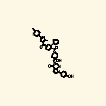 Cc1ccc(-c2nc(C)c(C(=O)N3CC[C@@H](C(=O)N4CCC(O)(Cn5cnc6c(ccn6-c6ccc(O)cc6)c5=O)CC4)[C@H](c4ccccc4)C3)s2)cn1